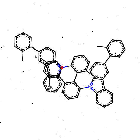 Cc1ccccc1-c1ccc2c(c1)c1ccccc1n2-c1cccc(C#N)c1-c1c(-c2ccc(C#N)cc2C(F)(F)F)cccc1-n1c2ccccc2c2cc(-c3ccccc3C)ccc21